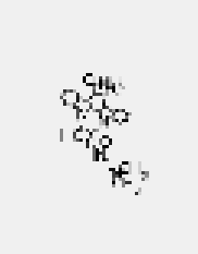 CN(C)CCNC(=O)OC1Cn2c3ccccc3c3c4c(c5c6ccccc6n(c5c32)CC1O)C(=O)NC4=O